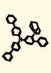 c1ccc(-c2ccc(N(c3ccc(-c4ccccc4)cc3)c3ccc(-c4ccccc4)c(N4C5CC6CC(C5)CC4C6)c3)cc2)cc1